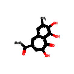 COC(=O)c1cc(O)c(=O)c2c(O)c(O)c(C)cc2c1